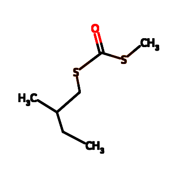 CCC(C)CSC(=O)SC